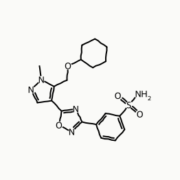 Cn1ncc(-c2nc(-c3cccc(S(N)(=O)=O)c3)no2)c1COC1CCCCC1